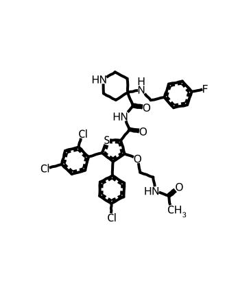 CC(=O)NCCOc1c(C(=O)NC(=O)C2(NCc3ccc(F)cc3)CCNCC2)sc(-c2ccc(Cl)cc2Cl)c1-c1ccc(Cl)cc1